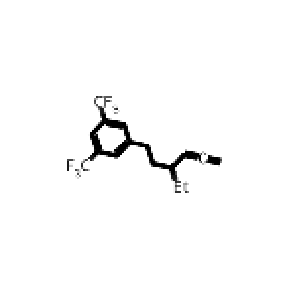 C=C=CC(CC)CCc1cc(C(F)(F)F)cc(C(F)(F)F)c1